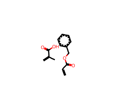 C=C(C)C(=O)O.C=CC(=O)OCc1ccccc1